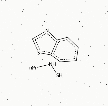 CCCNS.c1ccc2scnc2c1